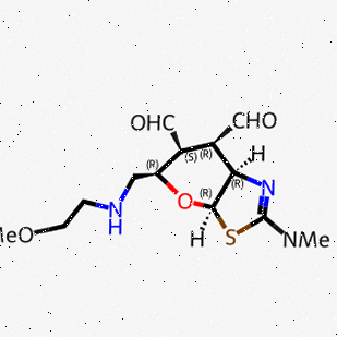 CNC1=N[C@@H]2[C@H](C=O)[C@H](C=O)[C@H](CNCCOC)O[C@@H]2S1